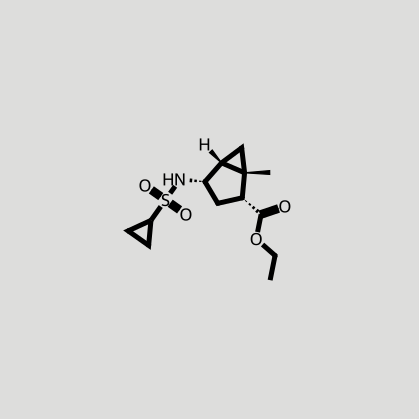 CCOC(=O)[C@@H]1C[C@H](NS(=O)(=O)C2CC2)[C@@H]2C[C@]12C